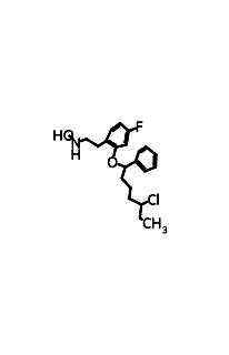 CCC(Cl)CCCC(Oc1cc(F)ccc1CCNO)c1ccccc1